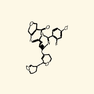 O=c1c2c(nc3cc(C4=CC(C5CCOC5)OCC4)nc(-c4ccc(Cl)cc4F)n13)COC2